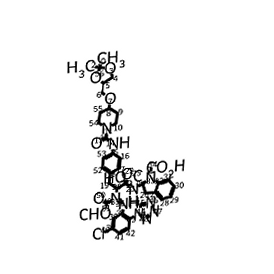 CC1(C)OC[C@@H](COC2CCN(C(=O)Nc3ccc(CC(C(=O)N[C@@]4(C(=O)O)Cc5ccccc5N4C(=O)O)N(Nc4cc(Cl)ccc4-n4cnnn4)C(=O)C=O)cc3)CC2)O1